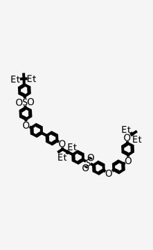 CCC(C)(CC)Oc1ccc(Oc2ccc(Oc3ccc(S(=O)(=O)c4ccc(C(CC)(CC)C(C)Oc5ccc(-c6ccc(Oc7ccc(S(=O)(=O)c8ccc(C(C)(CC)CC)cc8)cc7)cc6)cc5)cc4)cc3)cc2)cc1